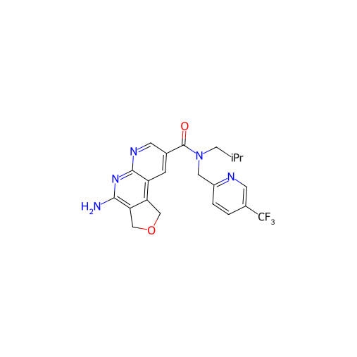 CC(C)CN(Cc1ccc(C(F)(F)F)cn1)C(=O)c1cnc2nc(N)c3c(c2c1)COC3